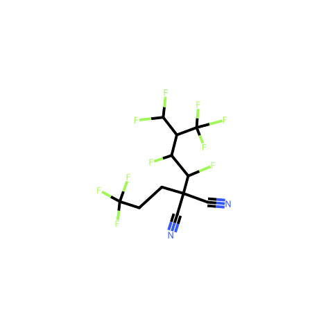 N#CC(C#N)(CCC(F)(F)F)C(F)C(F)C(C(F)F)C(F)(F)F